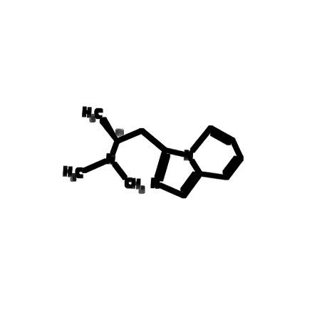 C[C@@H](Cc1ncc2ccccn12)N(C)C